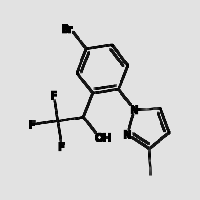 Cc1ccn(-c2ccc(Br)cc2C(O)C(F)(F)F)n1